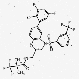 CC(C)(C(=O)NCC1CN(S(=O)(=O)c2cccc(C(F)(F)F)c2)c2cc(-c3cc(F)cc(F)c3Cl)ccc2O1)C(F)(F)F